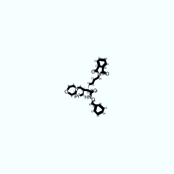 CC(C)C[C@@H](CN1CCOCC1)[C@H](CCCCN1C(=O)c2ccccc2C1=O)C(=O)NOCc1ccccc1